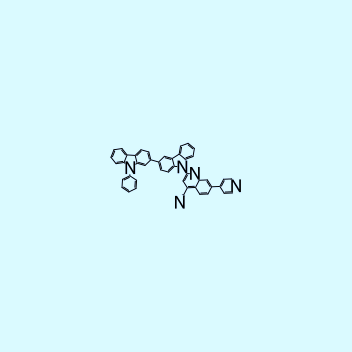 N#Cc1cc(-n2c3ccccc3c3cc(-c4ccc5c6ccccc6n(-c6ccccc6)c5c4)ccc32)nc2cc(-c3ccncc3)ccc12